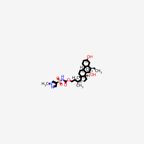 CC[C@@H]1C2C[C@H](O)CCC2(C)[C@H]2CCC3(C)[C@@H]([C@H](C)CCOC(=O)NS(=O)(=O)c4cnn(C)c4)CC[C@H]3C2[C@@H]1O